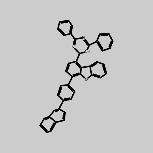 c1ccc(C2=NC(c3ccc(-c4ccc(-c5ccc6ccccc6c5)cc4)c4oc5ccccc5c34)NC(c3ccccc3)=N2)cc1